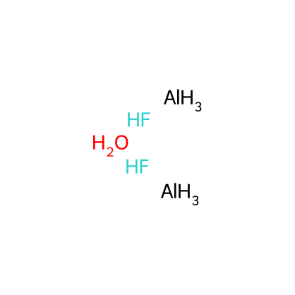 F.F.O.[AlH3].[AlH3]